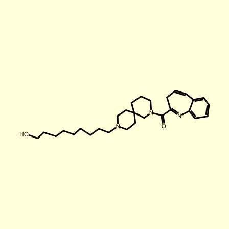 O=C(C1=Nc2ccccc2C=CC1)N1CCCC2(CCN(CCCCCCCCCO)CC2)C1